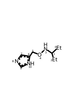 CCC(CC)NOCc1cnc[nH]1